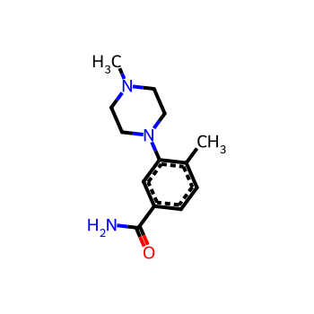 Cc1ccc(C(N)=O)cc1N1CCN(C)CC1